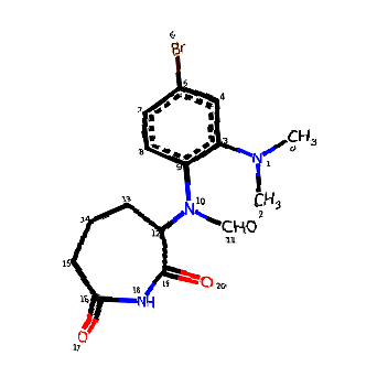 CN(C)c1cc(Br)ccc1N(C=O)C1CCCC(=O)NC1=O